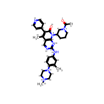 CCC(=O)N1CCCC(n2c(=O)c(-c3ccncc3)c(C)c3cnc(Nc4ccc(N5CCN(C)CC5)c(C)c4)nc32)C1